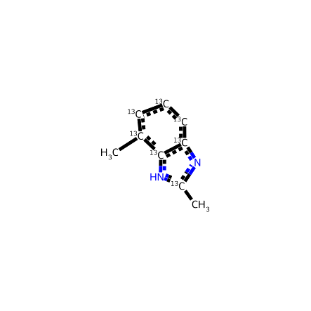 C[13c]1n[13c]2[13cH][13cH][13cH][13c](C)[13c]2[nH]1